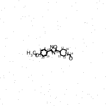 COc1ccc(-c2noc(C3CCN(C=O)CC3)n2)cc1